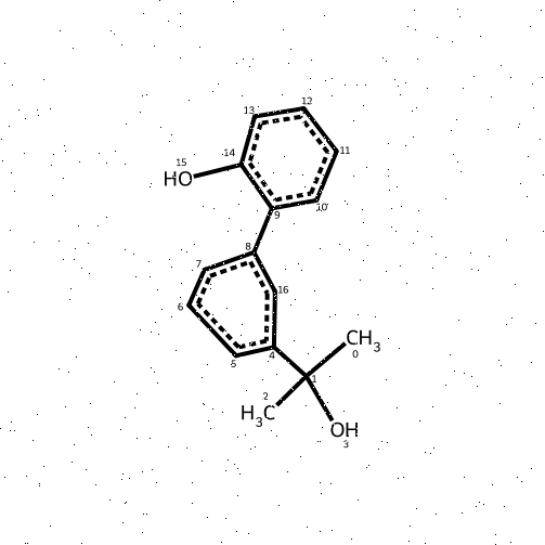 CC(C)(O)c1cccc(-c2cc[c]cc2O)c1